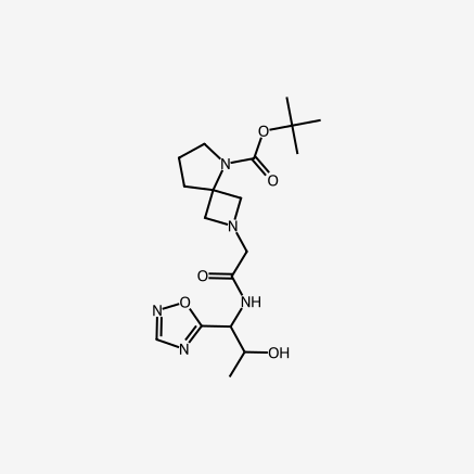 CC(O)C(NC(=O)CN1CC2(CCCN2C(=O)OC(C)(C)C)C1)c1ncno1